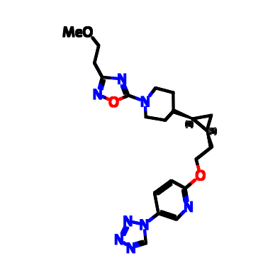 COCCc1noc(N2CCC([C@H]3C[C@H]3CCOc3ccc(-n4cnnn4)cn3)CC2)n1